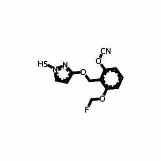 N#COc1cccc(OCF)c1COc1ccn(S)n1